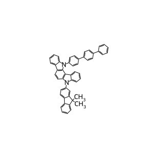 CC1(C)c2ccccc2-c2ccc(-n3c4ccccc4c4c3ccc3c5ccccc5n(-c5ccc(-c6ccc(-c7ccccc7)cc6)cc5)c34)cc21